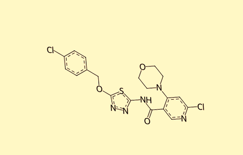 O=C(Nc1nnc(OCc2ccc(Cl)cc2)s1)c1cnc(Cl)cc1N1CCOCC1